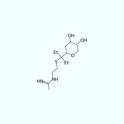 CCC(CC)(SCCNC(C)=N)C1CC(O)C(O)CO1